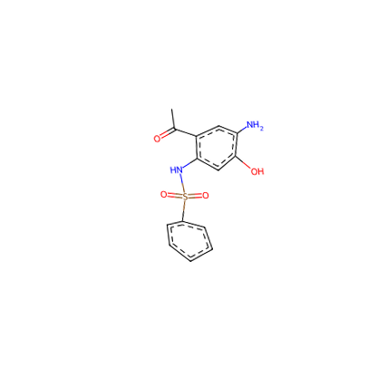 CC(=O)c1cc(N)c(O)cc1NS(=O)(=O)c1ccccc1